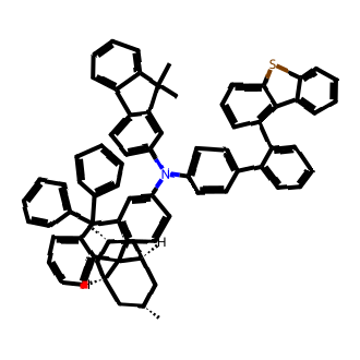 CC1(C)c2ccccc2-c2ccc(N(c3ccc(-c4ccccc4-c4cccc5sc6ccccc6c45)cc3)c3ccc4c(c3)C(c3ccccc3)(c3ccccc3)c3ccccc3C43[C@H]4C[C@@H](C)C[C@@H]3C[C@@H](C)C4)cc21